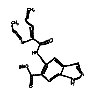 C=C/C=C(\N=C/C)C(=O)Nc1cc2cn[nH]c2cc1C(=O)OC